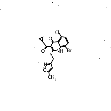 Cc1cc(CSc2[nH]c3c(Br)ccc(Cl)c3c(=O)c2C(=O)C2CC2)no1